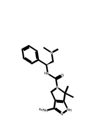 CC(=O)Nc1n[nH]c2c1CN(C(=O)N[C@H](CN(C)C)c1ccccc1)C2(C)C